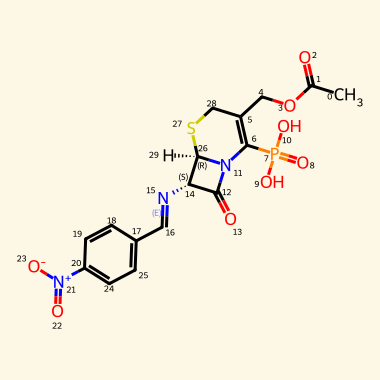 CC(=O)OCC1=C(P(=O)(O)O)N2C(=O)[C@H](/N=C/c3ccc([N+](=O)[O-])cc3)[C@H]2SC1